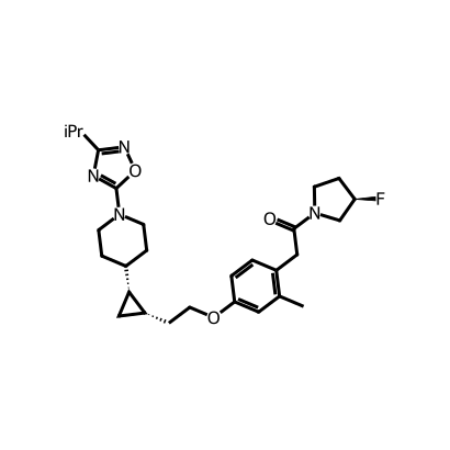 Cc1cc(OCC[C@@H]2C[C@@H]2C2CCN(c3nc(C(C)C)no3)CC2)ccc1CC(=O)N1CC[C@@H](F)C1